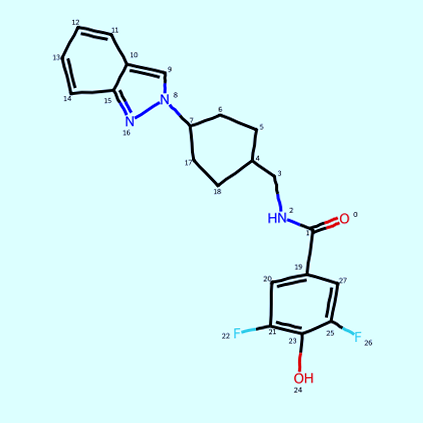 O=C(NCC1CCC(n2cc3ccccc3n2)CC1)c1cc(F)c(O)c(F)c1